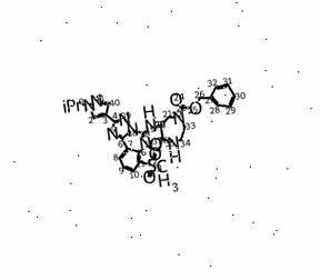 CC(C)n1cc(-c2nc3c4cccc(S(C)(=O)=O)c4nc(N[C@@H]4CN(C(=O)OCc5ccccc5)CCNC4=O)n3n2)cn1